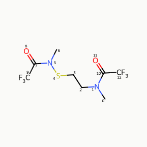 CN(CCSN(C)C(=O)C(F)(F)F)C(=O)C(F)(F)F